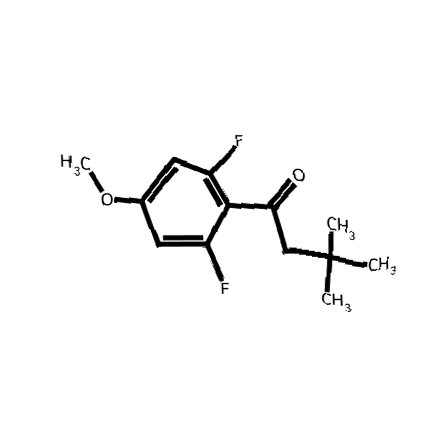 COc1cc(F)c(C(=O)CC(C)(C)C)c(F)c1